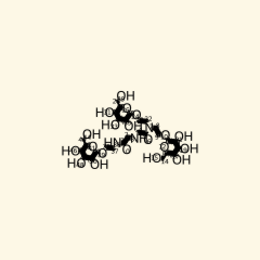 O=C(CNCC(=O)N(CCO[C@H]1O[C@H](CO)[C@@H](O)[C@H](O)[C@@H]1O)CCO[C@H]1O[C@H](CO)[C@@H](O)[C@H](O)[C@@H]1O)NCCO[C@H]1O[C@H](CO)[C@@H](O)[C@H](O)[C@@H]1O